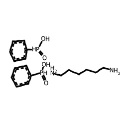 NCCCCCCN.O=[PH](O)c1ccccc1.O=[PH](O)c1ccccc1